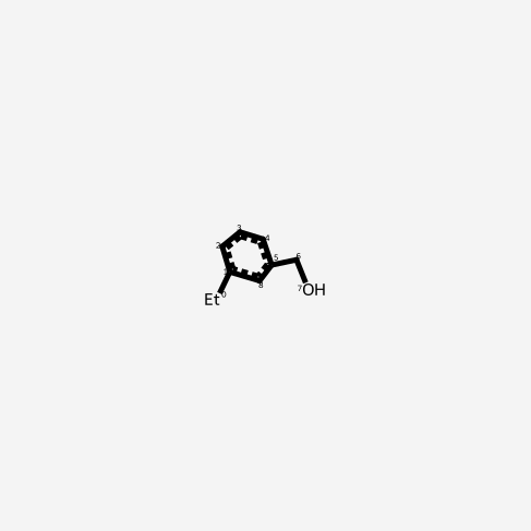 [CH2]Cc1cccc(CO)c1